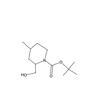 CC1CCN(C(=O)OC(C)(C)C)C(CO)C1